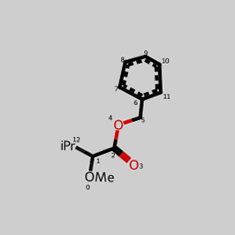 COC(C(=O)OCc1ccccc1)C(C)C